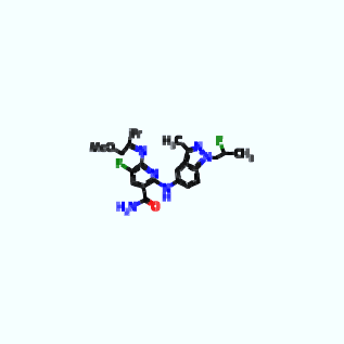 COC/C(=N\c1nc(Nc2ccc3c(c2)c(C)nn3CC(C)F)c(C(N)=O)cc1F)C(C)C